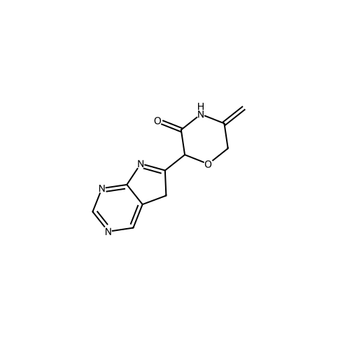 C=C1COC(C2=Nc3ncncc3C2)C(=O)N1